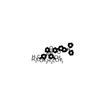 CC(C)(C)c1ccc(N2c3ccc(C(C)(C)C)cc3B3c4cc5oc6c7ccc(N(c8ccccc8)c8ccccc8)cc7ccc6c5cc4Oc4cccc2c43)cc1